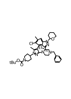 CC[C@@]1(C)CN(Cc2ccccc2)CCN1c1nn(C2CCN(C(=O)OC(C)(C)C)CC2)c(C)c1-c1c(Cl)c(C)cc2c1cnn2C1CCCCO1